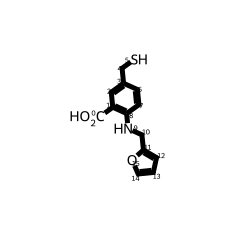 O=C(O)c1cc(CS)ccc1NCc1ccco1